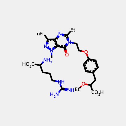 CCCc1nn(C)c2c(=O)n(CCOc3ccc(CC(OCC)C(=O)O)cc3)c(CC)nc12.N=C(N)NCCCC(N)C(=O)O